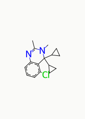 CC1=Nc2cccc(Cl)c2C(C2CC2)(C2CC2)N1C